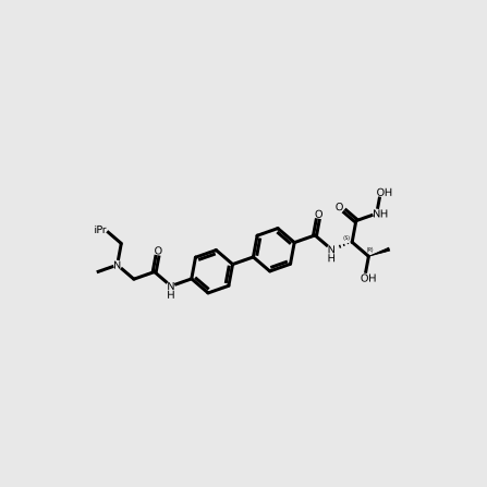 CC(C)CN(C)CC(=O)Nc1ccc(-c2ccc(C(=O)N[C@H](C(=O)NO)[C@@H](C)O)cc2)cc1